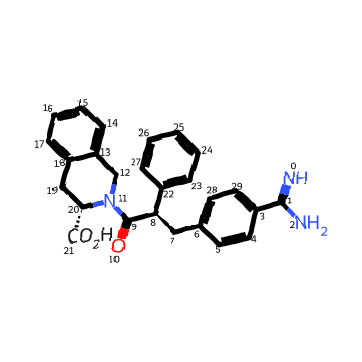 N=C(N)c1ccc(C[C@@H](C(=O)N2Cc3ccccc3C[C@H]2C(=O)O)c2ccccc2)cc1